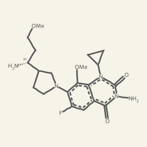 COCC[C@@H](N)C1CCN(c2c(F)cc3c(=O)n(N)c(=O)n(C4CC4)c3c2OC)C1